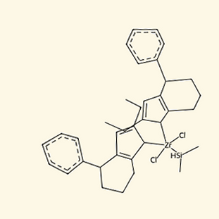 CCC1=CC2=C(CCCC2c2ccccc2)[CH]1[Zr]([Cl])([Cl])([CH]1C(CC)=CC2=C1CCCC2c1ccccc1)[SiH](C)C